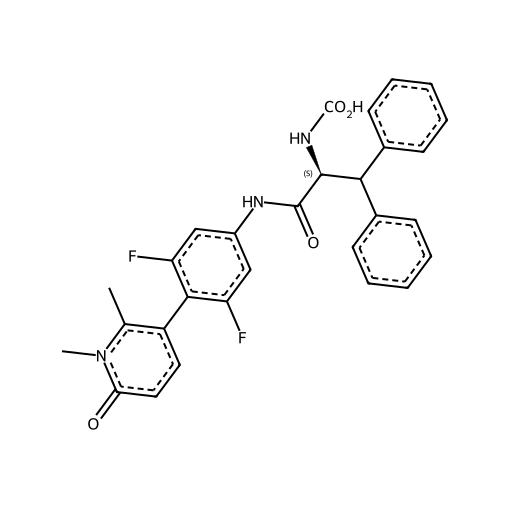 Cc1c(-c2c(F)cc(NC(=O)[C@@H](NC(=O)O)C(c3ccccc3)c3ccccc3)cc2F)ccc(=O)n1C